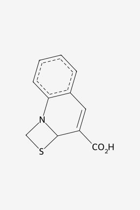 O=C(O)C1=Cc2ccccc2N2CSC12